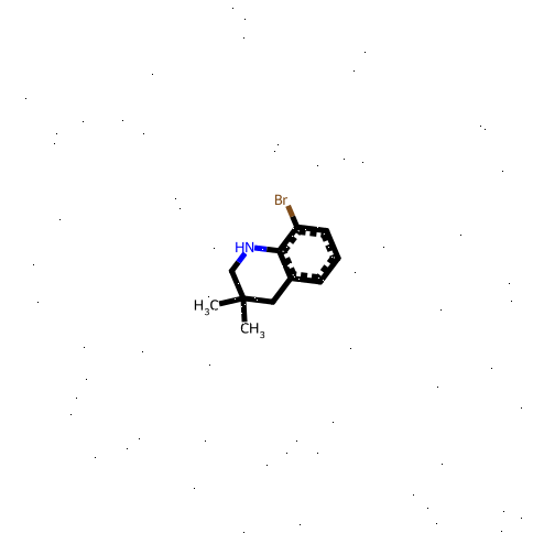 CC1(C)CNc2c(Br)cccc2C1